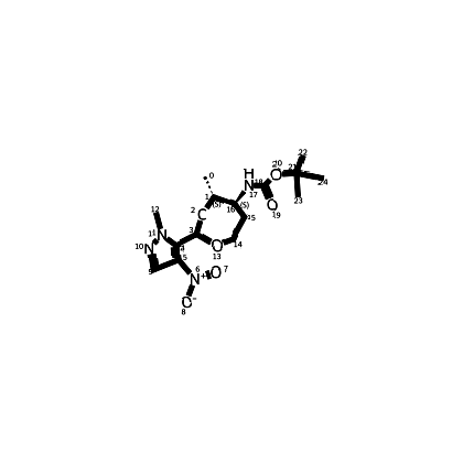 C[C@H]1CC(c2c([N+](=O)[O-])cnn2C)OCC[C@@H]1NC(=O)OC(C)(C)C